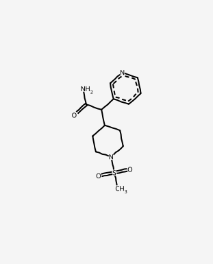 CS(=O)(=O)N1CCC(C(C(N)=O)c2cccnc2)CC1